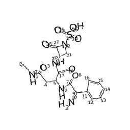 CNC(=O)CC(NC(=O)C(N)c1ccccc1)C(=O)NC1CN(S(=O)(=O)O)C1=O